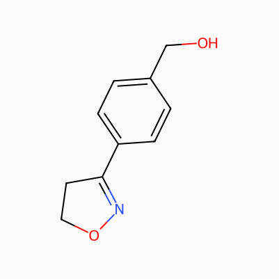 OCc1ccc(C2=NOCC2)cc1